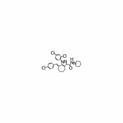 O=C(NN1CCCCC1)c1nn(-c2ccc(Cl)cc2Cl)c2c1CCCC/C2=C\c1ccc(Cl)cc1